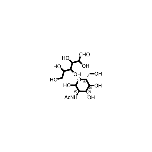 CC(=O)N[C@H]1C(O)O[C@H](CO)[C@@H](O)[C@@H]1O.O=CC(O)C(O)C(O)C(O)CO